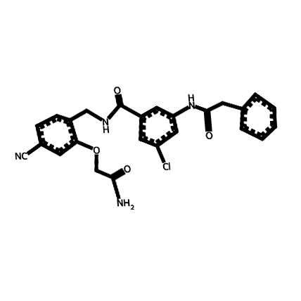 N#Cc1ccc(CNC(=O)c2cc(Cl)cc(NC(=O)Cc3ccccc3)c2)c(OCC(N)=O)c1